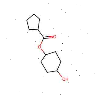 O=C(OC1CCC(O)CC1)C1CCCC1